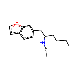 CCCCC(Cc1ccc2ccoc2c1)NCC